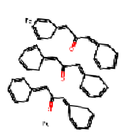 O=C(C=C1C=CC=CC1)C=C1C=CC=CC1.O=C(C=C1C=CC=CC1)C=C1C=CC=CC1.O=C(C=C1C=CC=CC1)C=C1C=CC=CC1.[Pd].[Pd]